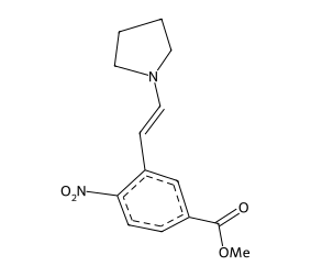 COC(=O)c1ccc([N+](=O)[O-])c(C=CN2CCCC2)c1